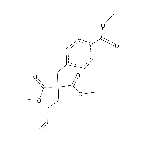 C=CCCC(Cc1ccc(C(=O)OC)cc1)(C(=O)OC)C(=O)OC